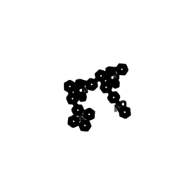 c1ccc([Si](c2ccccc2)(c2ccccc2)c2ccc(-c3ccc4c(c3)C3(c5ccccc5-4)c4ccccc4-n4c5ccc(-c6cccc7c6-c6ccc(-c8ccc(-c9nc%10ccccc%10o9)cc8)cc6C76c7ccccc7-n7c8ccccc8c8cccc6c87)cc5c5cccc3c54)cc2)cc1